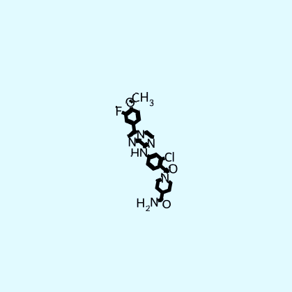 COc1ccc(-c2cnc3c(Nc4ccc(C(=O)N5CCC(C(N)=O)CC5)c(Cl)c4)nccn23)cc1F